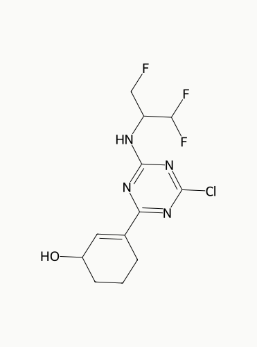 OC1C=C(c2nc(Cl)nc(NC(CF)C(F)F)n2)CCC1